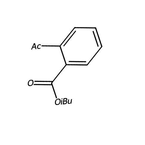 CC(=O)c1ccccc1C(=O)OCC(C)C